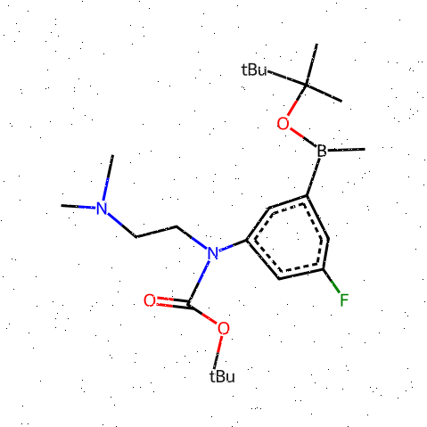 CB(OC(C)(C)C(C)(C)C)c1cc(F)cc(N(CCN(C)C)C(=O)OC(C)(C)C)c1